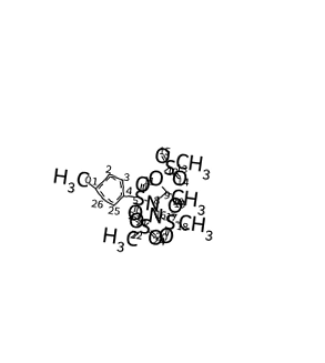 Cc1ccc(S(=O)(=O)N(C(C)OS(C)(=O)=O)N(S(C)(=O)=O)S(C)(=O)=O)cc1